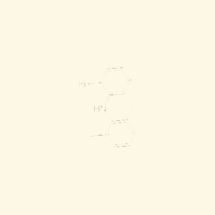 Cc1cccc(C)c1Nc1ccccc1Br